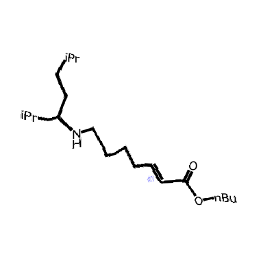 CCCCOC(=O)/C=C/CCCCNC(CCC(C)C)C(C)C